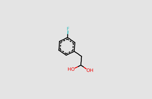 OC(O)Cc1cccc(F)c1